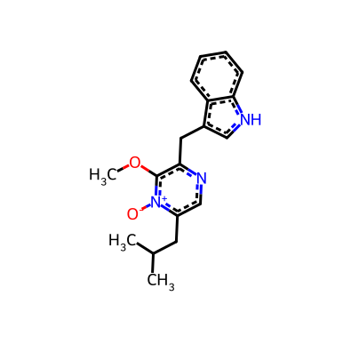 COc1c(Cc2c[nH]c3ccccc23)ncc(CC(C)C)[n+]1[O-]